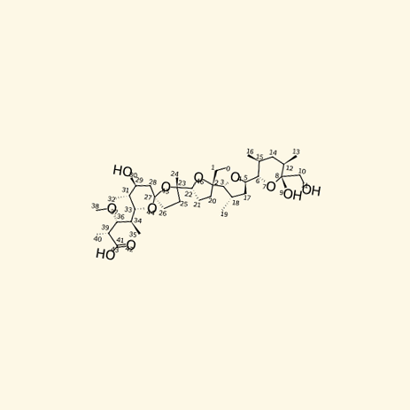 CC[C@@]1([C@@H]2O[C@@H]([C@H]3O[C@@](O)(CO)[C@H](C)C[C@@H]3C)C[C@@H]2C)CC[C@H]([C@]2(C)CC[C@]3(C[C@H](O)[C@@H](C)[C@@H]([C@@H](C)[C@@H](OC)[C@@H](C)C(=O)O)O3)O2)O1